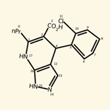 CCCC1=C(C(=O)O)C(c2ccccc2Cl)c2cn[nH]c2N1